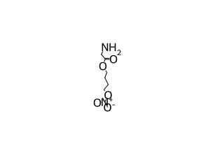 NCC(=O)OCCCCO[N+](=O)[O-]